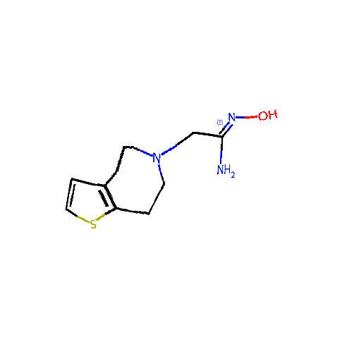 N/C(CN1CCc2sccc2C1)=N\O